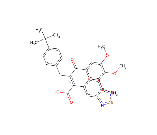 COc1cc(C(=O)/C(Cc2ccc(C(C)(C)C)cc2)=C(/C(=O)O)c2ccc3nsnc3c2)cc(OC)c1OC